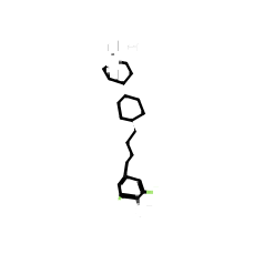 CCCCC[SiH]1CCC([C@H]2CC[C@H](CCCCc3cc(F)c(C(F)(F)F)c(F)c3)CC2)CC1